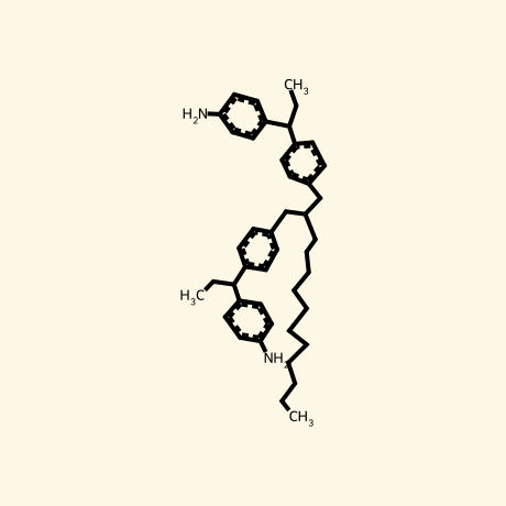 CCCCCCCCCCCC(Cc1ccc(C(CC)c2ccc(N)cc2)cc1)Cc1ccc(C(CC)c2ccc(N)cc2)cc1